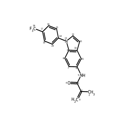 C=C(C)C(=O)Nc1ccc2c(ccn2-c2ccc(C(F)(F)F)cc2)c1